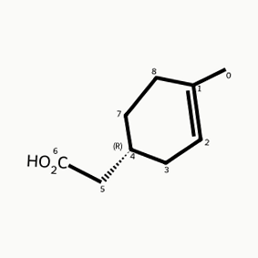 CC1=CC[C@H](CC(=O)O)CC1